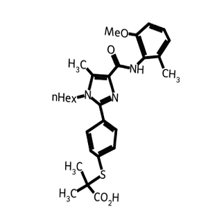 CCCCCCn1c(-c2ccc(SC(C)(C)C(=O)O)cc2)nc(C(=O)Nc2c(C)cccc2OC)c1C